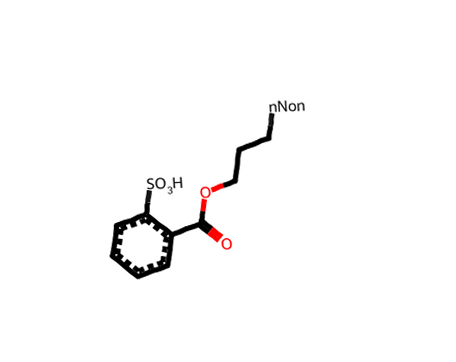 CCCCCCCCCCCCOC(=O)c1ccccc1S(=O)(=O)O